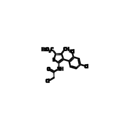 CCOC(=O)c1sc(NC(=O)CCl)c(-c2ccc(Cl)cc2Cl)c1C